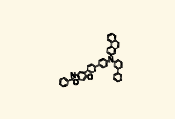 c1ccc(-c2cccc(N(c3ccc(-c4ccc5c(c4)oc4cc6oc(-c7ccccc7)nc6cc45)cc3)c3ccc4c(ccc5ccccc54)c3)c2)cc1